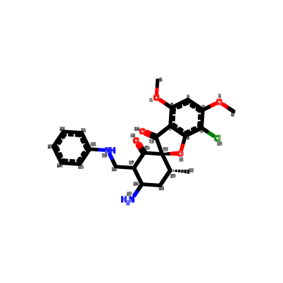 COc1cc(OC)c2c(c1Cl)O[C@]1(C2=O)C(=O)C(CNc2ccccc2)C(N)C[C@H]1C